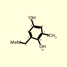 CNCc1cc(O)cc(C)c1O